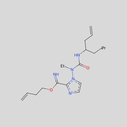 C=CCCOC(=N)c1nccn1N(CC)C(=O)NC(CC=C)CC(C)C